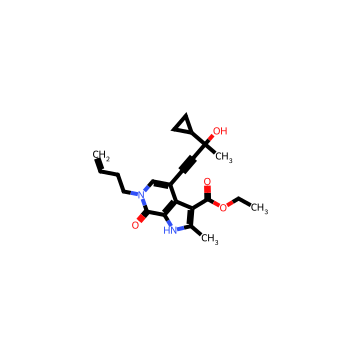 C=CCCn1cc(C#CC(C)(O)C2CC2)c2c(C(=O)OCC)c(C)[nH]c2c1=O